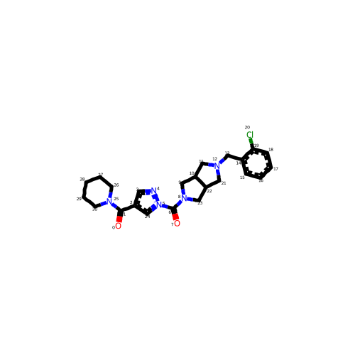 O=C(c1cnn(C(=O)N2CC3CN(Cc4ccccc4Cl)CC3C2)c1)N1CCCCC1